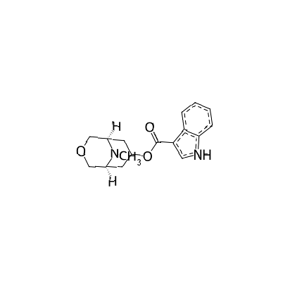 CN1[C@@H]2COC[C@H]1CC(OC(=O)c1c[nH]c3ccccc13)C2